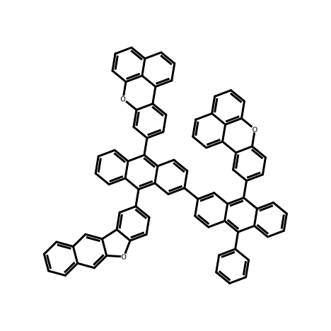 c1ccc(-c2c3ccccc3c(-c3ccc4c(c3)-c3cccc5cccc(c35)O4)c3cc(-c4ccc5c(-c6ccc7c(c6)Oc6cccc8cccc-7c68)c6ccccc6c(-c6ccc7oc8cc9ccccc9cc8c7c6)c5c4)ccc23)cc1